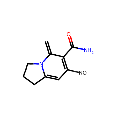 C=C1C(C(N)=O)=C(N=O)C=C2CCCN12